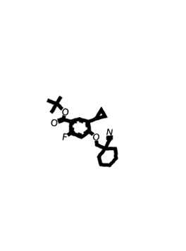 CC(C)(C)OC(=O)c1cc(C2CC2)c(OCC2(C#N)CCCCC2)cc1F